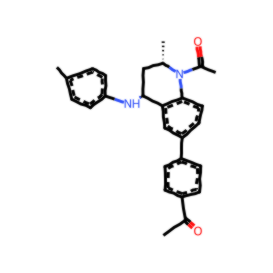 CC(=O)c1ccc(-c2ccc3c(c2)[C@H](Nc2ccc(C)cc2)C[C@H](C)N3C(C)=O)cc1